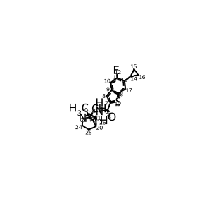 CC1(C)[C@@H](NC(=O)c2cc3cc(F)c(C4CC4)cc3s2)C2CCN1CC2